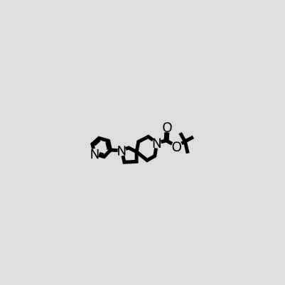 CC(C)(C)OC(=O)N1CCC2(CC1)CCN(c1cccnc1)C2